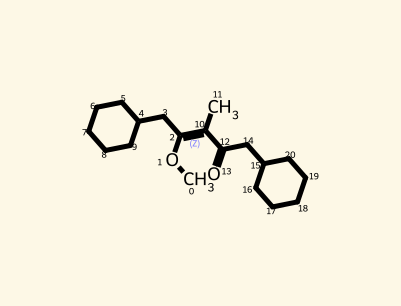 CO/C(CC1CCCCC1)=C(/C)C(=O)CC1CCCCC1